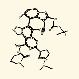 CN1CCC[C@@H](Nc2nc(N3CC[C@H](N(C)C)C3)nc3c(F)c(-c4c(F)ccc5sc(NC(=O)OC(C)(C)C)c(C#N)c45)c4c(c23)COC4)C1=O